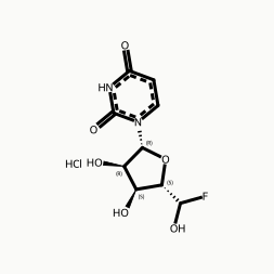 Cl.O=c1ccn([C@@H]2O[C@H](C(O)F)[C@@H](O)[C@H]2O)c(=O)[nH]1